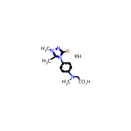 Cc1n(-c2ccc(N(C)CC(=O)O)cc2)c([S-])n[n+]1C.[KH]